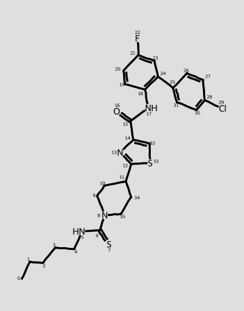 CCCCCNC(=S)N1CCC(c2nc(C(=O)Nc3ccc(F)cc3-c3ccc(Cl)cc3)cs2)CC1